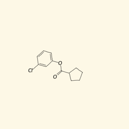 O=C(Oc1cccc(Cl)c1)C1CCCC1